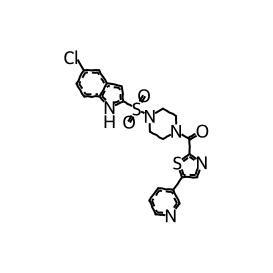 O=C(c1ncc(-c2cccnc2)s1)N1CCN(S(=O)(=O)c2cc3cc(Cl)ccc3[nH]2)CC1